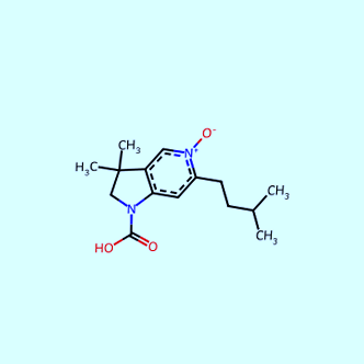 CC(C)CCc1cc2c(c[n+]1[O-])C(C)(C)CN2C(=O)O